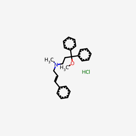 COC(CCN(C)CC=Cc1ccccc1)(c1ccccc1)c1ccccc1.Cl